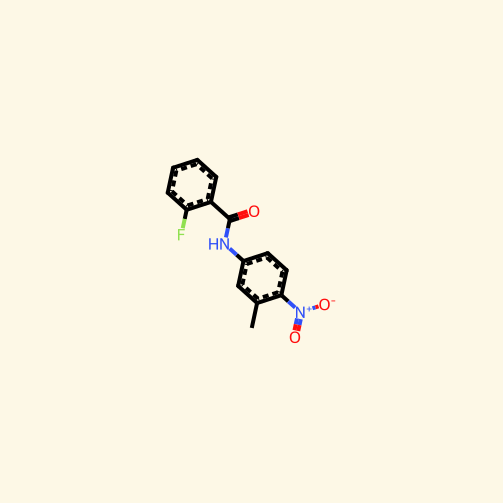 Cc1cc(NC(=O)c2ccccc2F)ccc1[N+](=O)[O-]